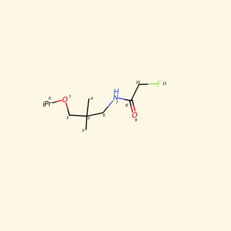 CC(C)OCC(C)(C)CNC(=O)CF